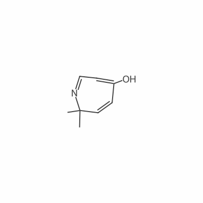 CC1(C)C=CC(O)=CC=N1